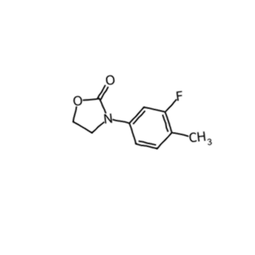 Cc1ccc(N2CCOC2=O)cc1F